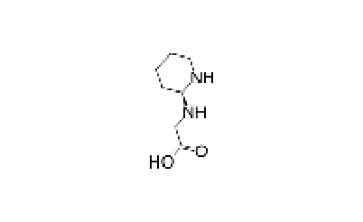 O=C(O)CN[C@H]1CCCCN1